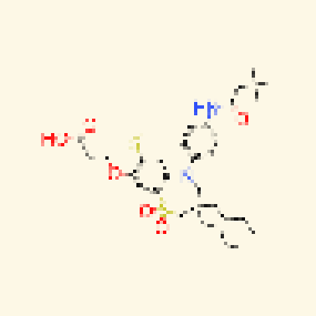 CCCCC1(CCCC)CN(c2ccc(NC(=O)CC(C)(C)C)cc2)c2cc(SC)c(OC=CC(=O)O)cc2S(=O)(=O)C1